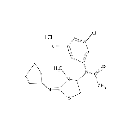 CC(=O)N(c1cc(Cl)cc(Cl)c1)C1CSC(=NC2CCCC2)N1C.Cl